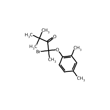 Cc1ccc(OC(C)(Br)C(=O)C(C)(C)C)c(C)c1